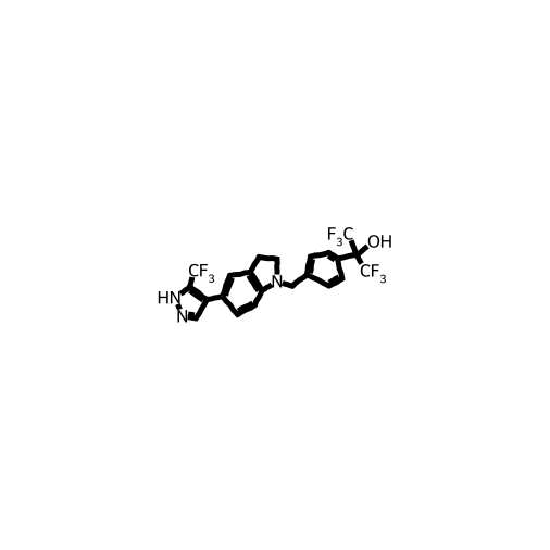 OC(c1ccc(CN2CCc3cc(-c4cn[nH]c4C(F)(F)F)ccc32)cc1)(C(F)(F)F)C(F)(F)F